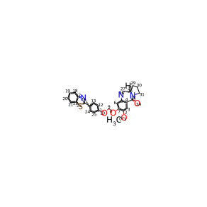 COc1cc2c(cc1OCOc1ccc(-c3nc4ccccc4s3)cc1)N=C[C@@H]1CCCN1C2=O